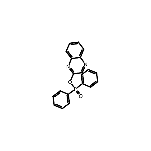 O=P(Oc1cnc2ccccc2n1)(c1ccccc1)c1ccccc1